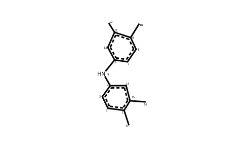 Cc1ccc(Nc2ccc(C)c(C)c2)cc1C